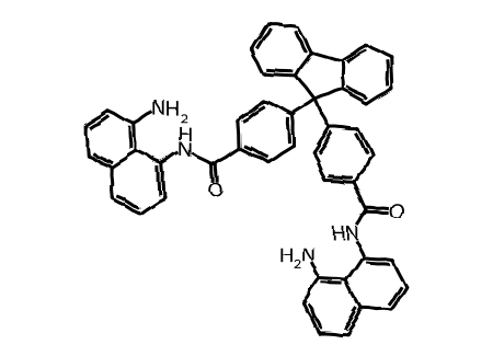 Nc1cccc2cccc(NC(=O)c3ccc(C4(c5ccc(C(=O)Nc6cccc7cccc(N)c67)cc5)c5ccccc5-c5ccccc54)cc3)c12